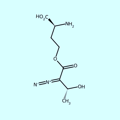 C[C@@H](O)C(=[N+]=[N-])C(=O)OCC[C@H](N)C(=O)O